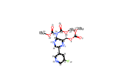 CC(C)(C)OC(=O)OCc1nc(-c2cncc(F)c2)cnc1N(C(=O)OC(C)(C)C)C(=O)OC(C)(C)C